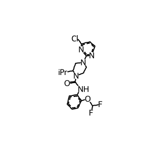 CC(C)C1CN(c2nccc(Cl)n2)CCN1C(=O)Nc1ccccc1OC(F)F